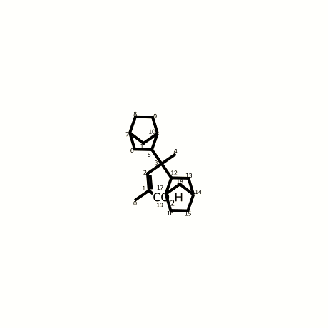 CC(=CC(C)(C1CC2CCC1C2)C1CC2CCC1C2)C(=O)O